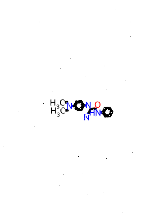 CCN(CC)c1ccc(/N=C(\C#N)C(=O)Nc2ccccc2)cc1